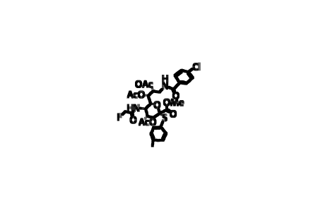 COC(=O)[C@@]1(Sc2ccc(C)cc2)C[C@H](OC(C)=O)[C@@H](NC(=O)CF)[C@H]([C@H](OC(C)=O)[C@@H](CNC(=O)c2ccc(Cl)cc2)OC(C)=O)O1